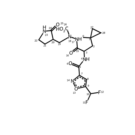 CC1(CC(NC(=O)c2cc(C(F)F)on2)C(=O)NN(CC2CCNC2=O)C(=O)O)CC1